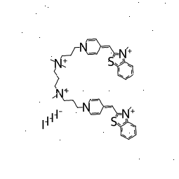 C[n+]1c(C=C2C=CN(CCC[N+](C)(C)CCC[N+](C)(C)CCCN3C=CC(=Cc4sc5ccccc5[n+]4C)C=C3)C=C2)sc2ccccc21.[I-].[I-].[I-].[I-]